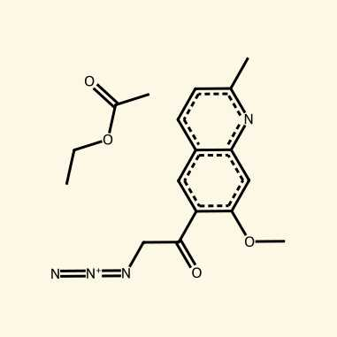 CCOC(C)=O.COc1cc2nc(C)ccc2cc1C(=O)CN=[N+]=[N-]